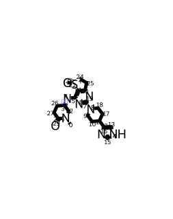 CN1C/C(=N\c2nc(N3CCC(c4c[nH]cn4)CC3)nc3c2[S+]([O-])CC3)CCC1=O